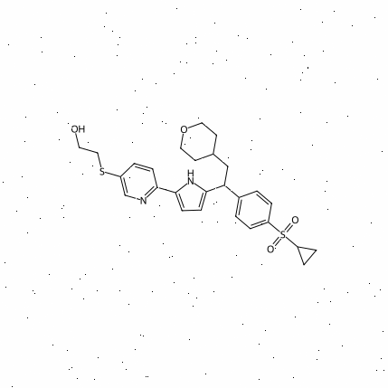 O=S(=O)(c1ccc(C(CC2CCOCC2)c2ccc(-c3ccc(SCCO)cn3)[nH]2)cc1)C1CC1